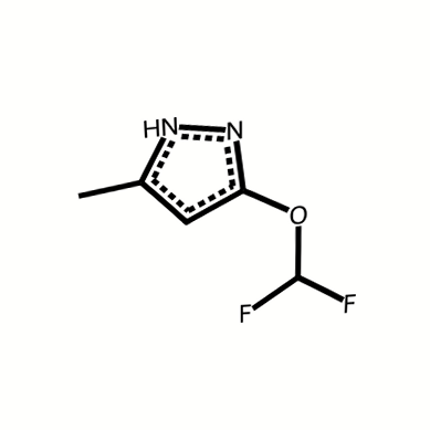 Cc1cc(OC(F)F)n[nH]1